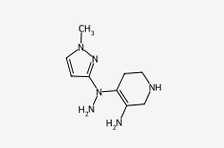 Cn1ccc(N(N)C2=C(N)CNCC2)n1